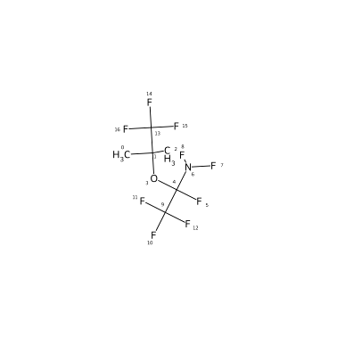 CC(C)(OC(F)(N(F)F)C(F)(F)F)C(F)(F)F